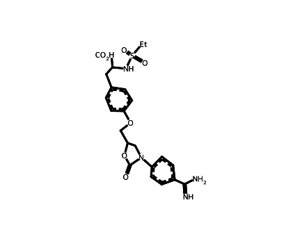 CCS(=O)(=O)NC(Cc1ccc(OCC2CN(c3ccc(C(=N)N)cc3)C(=O)O2)cc1)C(=O)O